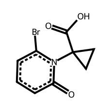 O=C(O)C1(n2c(Br)cccc2=O)CC1